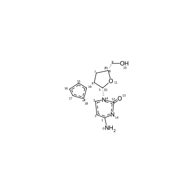 Nc1ccn([C@@H]2CC[C@H](CO)O2)c(=O)n1.c1ccsc1